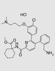 COC(=O)C1(NC(=O)c2ccc(-c3ccccc3CN)c(-c3ccc(Cl)c(OCCCN(C)C)c3)n2)CCCCC1.Cl